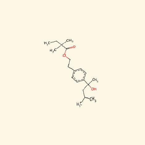 CCC(C)(C)C(=O)OCCc1ccc(C(C)(O)CC(C)C)cc1